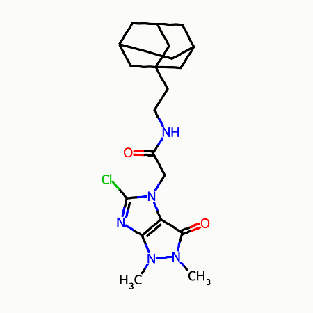 Cn1c(=O)c2c(nc(Cl)n2CC(=O)NCCC23CC4CC(CC(C4)C2)C3)n1C